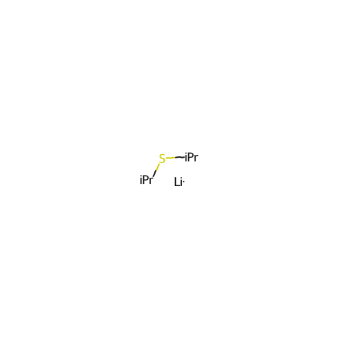 CC(C)SC(C)C.[Li]